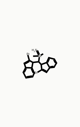 CCC1=Cc2ccccc2C1[CH](C1C(CC)=Cc2ccccc21)[Sc]([CH3])([CH3])=[SiH2]